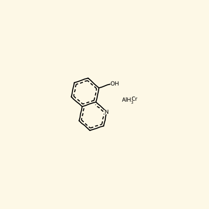 Oc1cccc2cccnc12.[AlH3].[Cr]